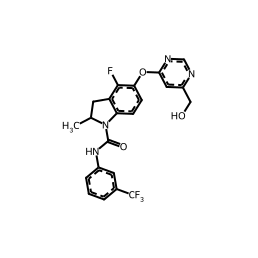 CC1Cc2c(ccc(Oc3cc(CO)ncn3)c2F)N1C(=O)Nc1cccc(C(F)(F)F)c1